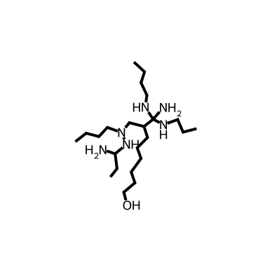 CCCCNC(N)(NCCC)C(CCCCCCO)CN(CCCC)NC(N)CC